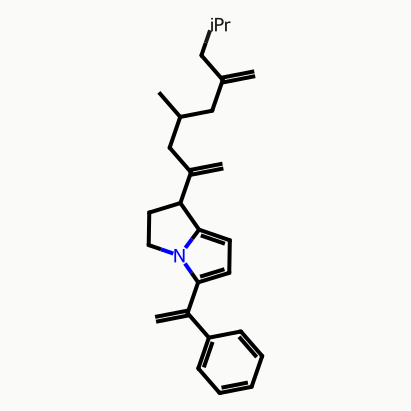 C=C(CC(C)C)CC(C)CC(=C)C1CCn2c(C(=C)c3ccccc3)ccc21